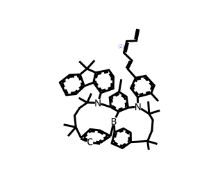 C=C/C=C\C=Cc1ccc(C)c(N2c3cc(C)cc4c3B(c3ccc(cc3)C(C)(C)CCC2(C)C)c2ccc(cc2)C(C)(C)CCC(C)(C)N4c2cccc3c2-c2ccccc2C3(C)C)c1